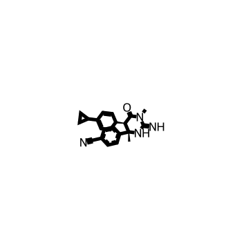 CN1C(=N)N[C@](C)(c2ccc(C#N)cc2)[C@@H](C2C=CC(C3CC3)=CC2)C1=O